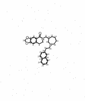 O=C1c2cc3c(cc2CCN1CC1CCCCN(CCc2ccc4ccccc4c2)C1)OCO3